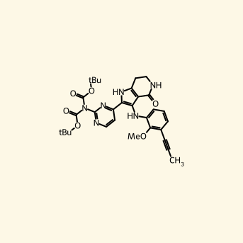 CC#Cc1cccc(Nc2c(-c3ccnc(N(C(=O)OC(C)(C)C)C(=O)OC(C)(C)C)n3)[nH]c3c2C(=O)NCC3)c1OC